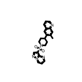 Cc1cc2ncccc2cc1C1CCN(S(=O)(=O)c2cnn3cccnc23)CC1